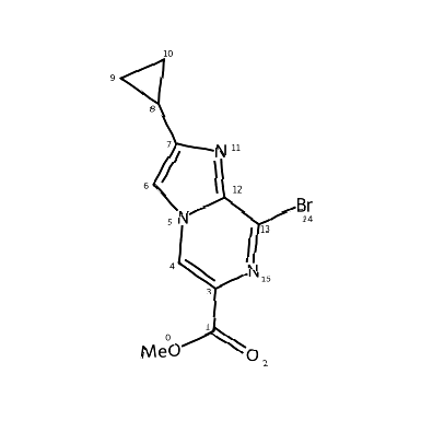 COC(=O)c1cn2cc(C3CC3)nc2c(Br)n1